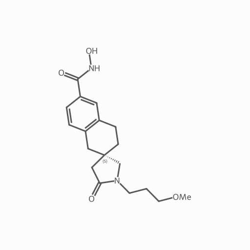 COCCCN1C[C@]2(CCc3cc(C(=O)NO)ccc3C2)CC1=O